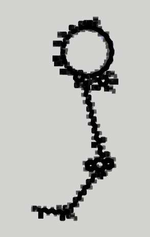 CC(C)NCCCCCC(=O)C(C)(C)OCCOCCOCCOCCn1nnc2c1-c1ccccc1CN(C(=O)CCNC(=O)CCOCCOCCOCCOCCNC(=O)[C@H]1C3C[C@@H](O[C@@H]4O[C@H](C)[C@@H](O)C(N)[C@@H]4O)/C=C/C=C/C=C/C=C/C=C/C=C/C=C/[C@H](C)[C@@H](O)[C@@H](C)[C@H](C)OC(=O)C[C@H](O)C[C@H](O)CC[C@@H](O)[C@H](O)C[C@H](O)C[C@](O)(C[C@@H]1O)O3)c1ccccc1-2